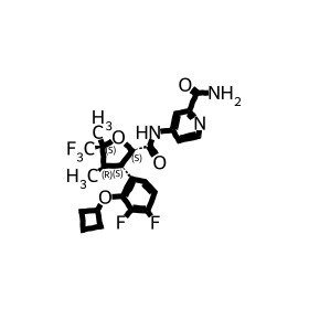 C[C@@H]1[C@@H](c2ccc(F)c(F)c2OC2CCC2)[C@@H](C(=O)Nc2ccnc(C(N)=O)c2)O[C@]1(C)C(F)(F)F